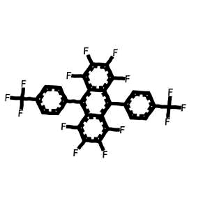 Fc1c(F)c(F)c2c(-c3ccc(C(F)(F)F)cc3)c3c(F)c(F)c(F)c(F)c3c(-c3ccc(C(F)(F)F)cc3)c2c1F